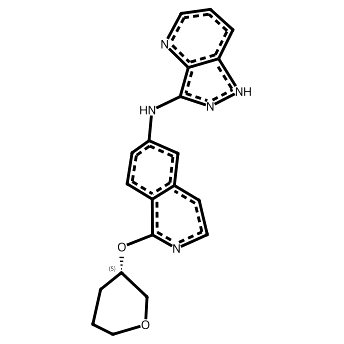 c1cnc2c(Nc3ccc4c(O[C@H]5CCCOC5)nccc4c3)n[nH]c2c1